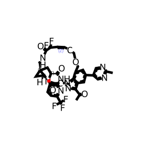 CC(=O)c1nn2c3c(cc(-c4cnc(C)nc4)cc13)COCC/C=C\C(F)(F)C(=O)NC[C@@]13C[C@@H](C(=O)Nc4nc(C(F)(F)F)ccc4C)N(C(=O)C2)[C@@H]1C3